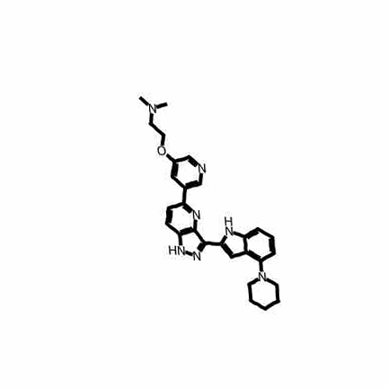 CN(C)CCOc1cncc(-c2ccc3[nH]nc(-c4cc5c(N6CCCCC6)cccc5[nH]4)c3n2)c1